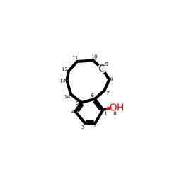 Oc1cccc2c1CCCCCCCC2